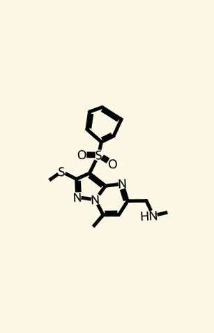 CNCc1cc(C)n2nc(SC)c(S(=O)(=O)c3ccccc3)c2n1